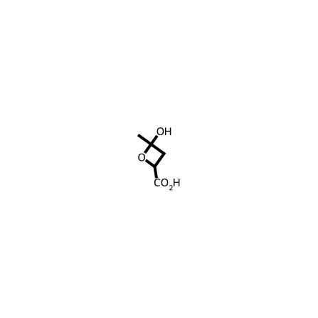 CC1(O)CC(C(=O)O)O1